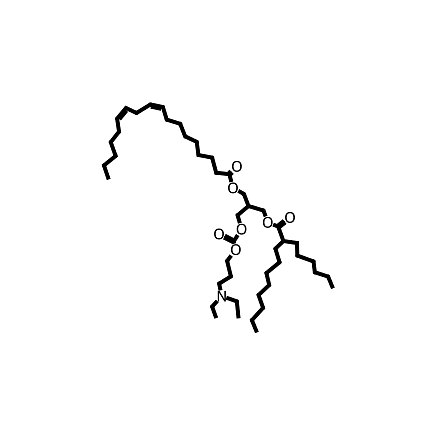 CCCCC/C=C\C/C=C\CCCCCCCC(=O)OCC(COC(=O)OCCCN(CC)CC)COC(=O)C(CCCCCC)CCCCCCCC